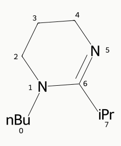 CCCCN1CCCN=C1C(C)C